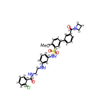 COc1ccc(-c2cccc(C(=O)N3CCC3)c2)cc1S(=O)(=O)Nc1cccc(NCCNC(=O)c2ccccc2Cl)c1